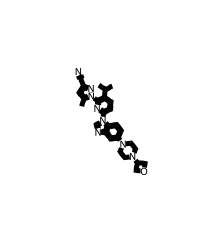 Cc1cc(C#N)nn1-c1nc(-n2cnc3cc(N4CCN(C5COC5)CC4)ccc32)ccc1C(C)C